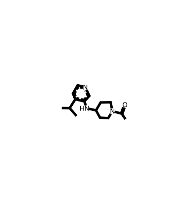 CC(=O)N1CCC(Nc2cnccc2C(C)C)CC1